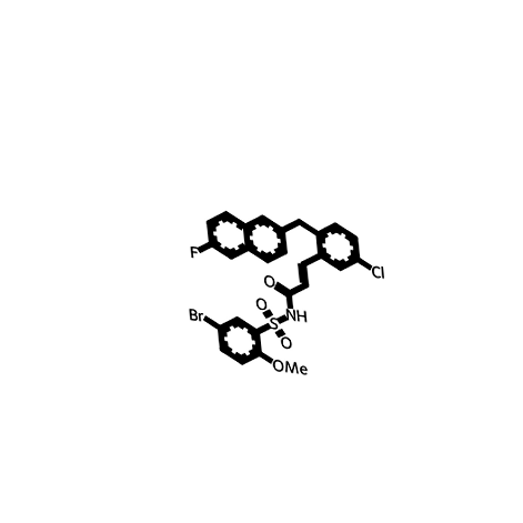 COc1ccc(Br)cc1S(=O)(=O)NC(=O)C=Cc1cc(Cl)ccc1Cc1ccc2cc(F)ccc2c1